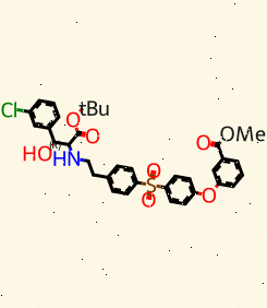 COC(=O)c1cccc(Oc2ccc(S(=O)(=O)c3ccc(CCNC(C(=O)OC(C)(C)C)[C@H](O)c4cccc(Cl)c4)cc3)cc2)c1